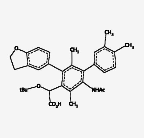 CC(=O)Nc1c(C)c(C(OC(C)(C)C)C(=O)O)c(-c2ccc3c(c2)CCO3)c(C)c1-c1ccc(C)c(C)c1